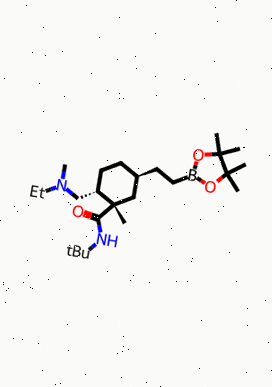 CCN(C)C[C@@H]1CC[C@@H](CCB2OC(C)(C)C(C)(C)O2)C[C@]1(C)C(=O)NC(C)(C)C